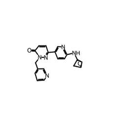 O=c1ccc(-c2ccc(NC34CC(C3)C4)nc2)nn1Cc1cccnc1